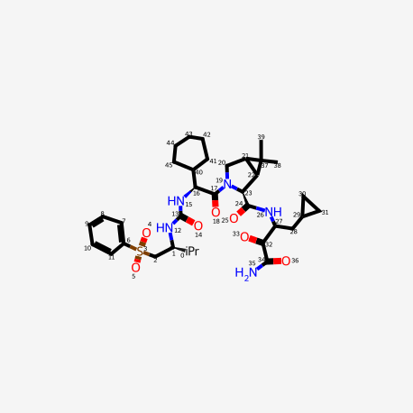 CC(C)[C@@H](CS(=O)(=O)c1ccccc1)NC(=O)N[C@H](C(=O)N1CC2C([C@H]1C(=O)NC(CC1CC1)C(=O)C(N)=O)C2(C)C)C1CCCCC1